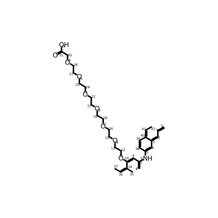 C=C/C=c1/cc(NC(=C)/C=C(OCCOCCOCCOCCOCCOCCOCC(=O)O)\C(C)=C/C)cc/c1=C/C